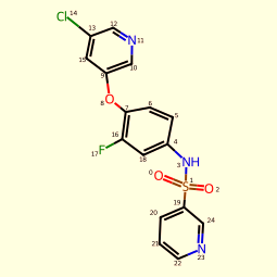 O=S(=O)(Nc1ccc(Oc2cncc(Cl)c2)c(F)c1)c1cccnc1